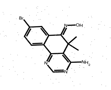 CC1(C)C(=NO)c2cc(Br)ccc2-c2ncnc(N)c21